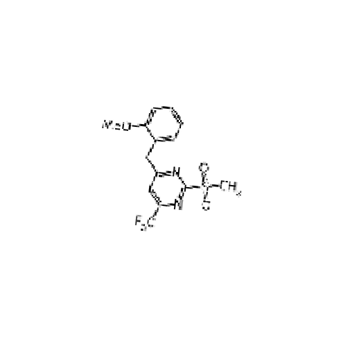 COc1ccccc1Cc1cc(C(F)(F)F)nc(S(C)(=O)=O)n1